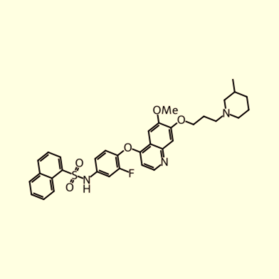 COc1cc2c(Oc3ccc(NS(=O)(=O)c4cccc5ccccc45)cc3F)ccnc2cc1OCCCN1CCCC(C)C1